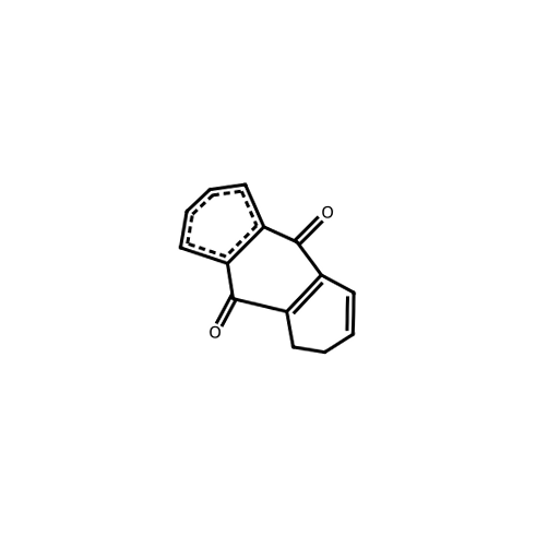 O=C1C2=C(CCC=C2)C(=O)c2ccccc21